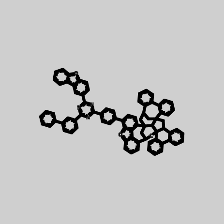 c1ccc(-c2cccc(-c3nc(-c4ccc(-c5ccc6c7c5oc5cccc(c57)C5CC67CC6CC8(CC9c%10ccccc%10-c%10ccccc%10C9(C5)C87)c5ccccc5-c5ccccc56)cc4)nc(-c4ccc5oc6ccccc6c5c4)n3)c2)cc1